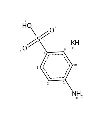 Nc1ccc(S(=O)(=O)O)cc1.[KH]